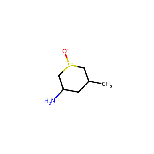 CC1CC(N)C[S+]([O-])C1